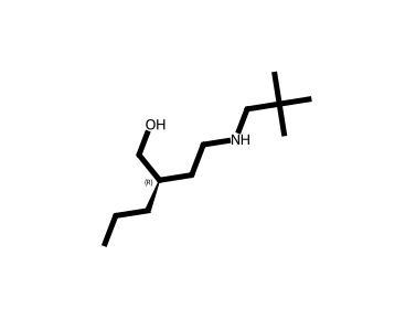 CCC[C@@H](CO)CCNCC(C)(C)C